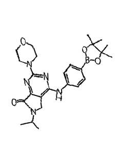 CC(C)N1Cc2c(Nc3ccc(B4OC(C)(C)C(C)(C)O4)cc3)nc(N3CCOCC3)nc2C1=O